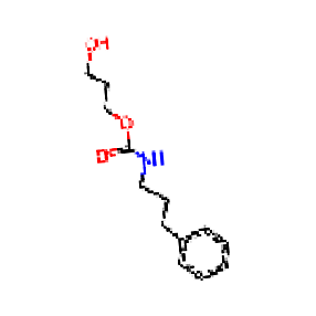 O=C(NCCCc1ccccc1)OCCCO